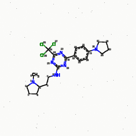 CN1CCCC1CCNc1nc(-c2ccc(N3CCCC3)cc2)nc(C(Cl)(Cl)Cl)n1